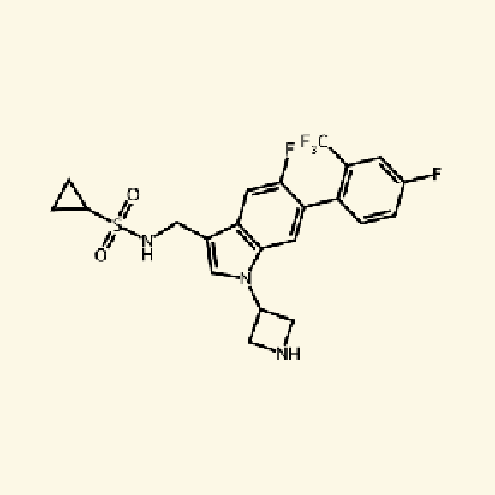 O=S(=O)(NCc1cn(C2CNC2)c2cc(-c3ccc(F)cc3C(F)(F)F)c(F)cc12)C1CC1